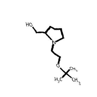 CC(C)(C)OCCN1CCCC1CO